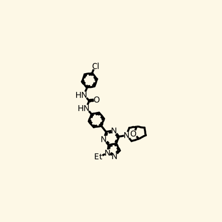 CCn1ncc2c(N3CC4CCC(C3)O4)nc(-c3ccc(NC(=O)Nc4ccc(Cl)cc4)cc3)nc21